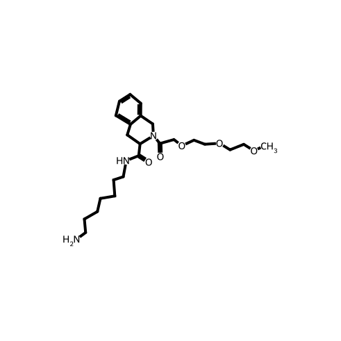 COCCOCCOCC(=O)N1Cc2ccccc2CC1C(=O)NCCCCCCCN